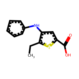 CCc1sc(C(=O)O)cc1Nc1ccccc1